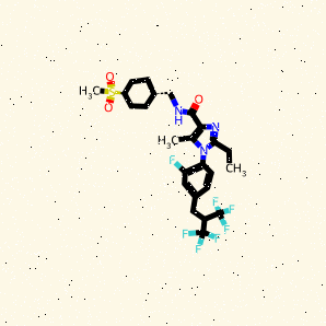 CCc1nc(C(=O)NC[C@H]2CC[C@H](S(C)(=O)=O)CC2)c(C)n1-c1ccc(CC(C(F)(F)F)C(F)(F)F)cc1F